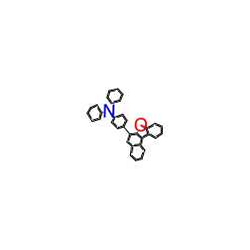 c1ccc(N(c2ccccc2)c2ccc(-c3cc4ccccc4c4c3oc3ccccc34)cc2)cc1